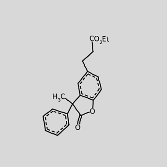 CCOC(=O)CCc1ccc2c(c1)C(C)(c1ccccc1)C(=O)O2